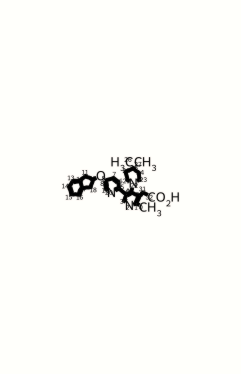 Cc1ncc(-c2ccc(OC3Cc4ccccc4C3)cn2)c(N2CCC(C)(C)CC2)c1CC(=O)O